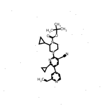 C=Cc1cc(-c2cc(C#N)c(N3CCN(C(=O)OC(C)(C)C)C(C4CC4)C3)nc2C2CC2)ccn1